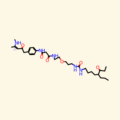 CCCC(CCCCNC(=O)NCCCOCCNC(=O)CC(=O)Nc1ccc(CC(=O)/C=C(/C)NC)cc1)C(=O)CC